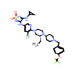 CC[C@H]1CN(c2ncc(NC3=NS(=O)(=O)N=C3NC3CC3)cc2Cl)CCN1C1CCN(Cc2ccc(OC(F)(F)F)cc2)CC1